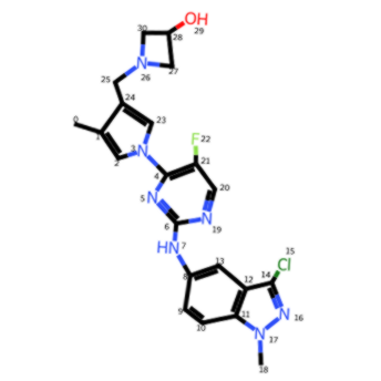 Cc1cn(-c2nc(Nc3ccc4c(c3)c(Cl)nn4C)ncc2F)cc1CN1CC(O)C1